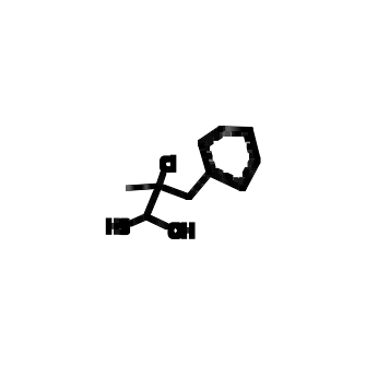 CC(Cl)(Cc1ccccc1)C(O)S